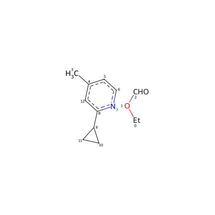 CCOC=O.Cc1ccnc(C2CC2)c1